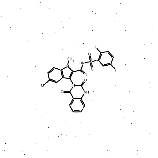 Cn1c(C(=O)NS(=O)(=O)c2cc(F)ccc2F)c(-n2c(=O)[nH]c3ccccc3c2=O)c2cc(Cl)ccc21